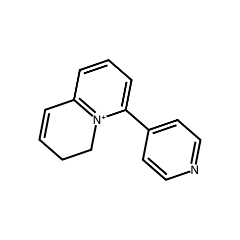 C1=Cc2cccc(-c3ccncc3)[n+]2CC1